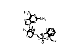 CC(C)OC(=O)[C@@H](C)NP(=O)(OC[C@@]12CO[C@@H]([C@H](n3cnc4c(N)nc(N)nc43)O1)[C@@H]2O)Oc1ccccc1